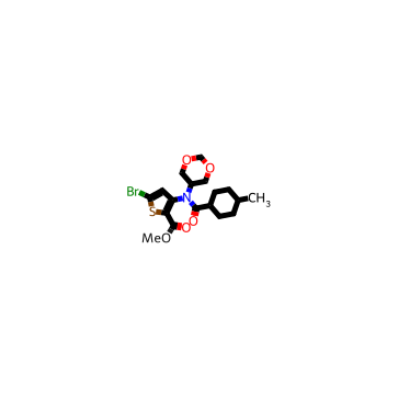 COC(=O)c1sc(Br)cc1N(C(=O)C1CCC(C)CC1)C1COCOC1